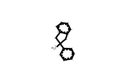 CC1(c2ccccc2)Cc2ccccc2C1